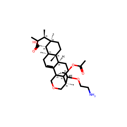 CC(=O)O[C@@H]1C[C@@]23COC[C@](C)(C1OCCN)[C@@H]2CC[C@H]1C3=CC[C@@]2(C)[C@H](C(=O)O)[C@@](C)([C@H](C)C(C)C)CC[C@]12C